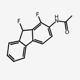 CC(=O)Nc1ccc2c(c1F)C(F)c1ccccc1-2